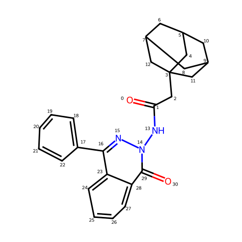 O=C(CC12CC3CC(CC(C3)C1)C2)Nn1nc(-c2ccccc2)c2ccccc2c1=O